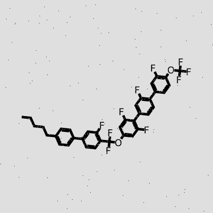 CCCCCc1ccc(-c2ccc(C(F)(F)Oc3cc(F)c(-c4ccc(-c5ccc(OC(F)(F)F)c(F)c5)c(F)c4)c(F)c3)c(F)c2)cc1